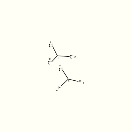 ClC(Cl)Cl.FC(F)Cl